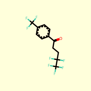 O=C(CCC(F)(F)C(F)(F)F)c1ccc(C(F)(F)F)cc1